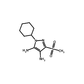 CS(=O)(=O)c1nn(C2CCCCC2)c(N)c1N